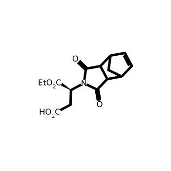 CCOC(=O)[C@H](CC(=O)O)N1C(=O)C2C3C=CC(C3)C2C1=O